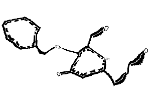 O=C/C=C\c1cc(=O)c(OCc2ccccc2)c(C=O)[nH]1